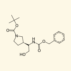 CC(C)(C)OC(=O)N1CC[C@H](C(CO)NC(=O)OCc2ccccc2)C1